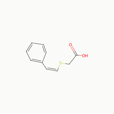 O=C(O)CS/C=C\c1ccccc1